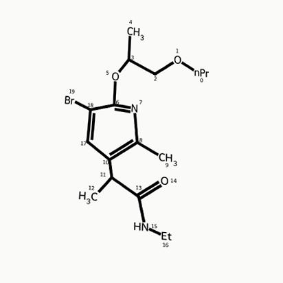 CCCOCC(C)Oc1nc(C)c(C(C)C(=O)NCC)cc1Br